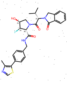 Cc1ncsc1-c1ccc(CNC(=O)[C@@H]2[C@@H](F)[C@@H](O)CN2C(=O)[C@H](C(C)C)N2Cc3ccccc3C2=O)cc1